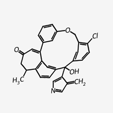 C=C1C=NC=C1C1(O)c2ccc(Cl)c(c2)COc2cccc(c2)C2=CC(=O)CC(C)c3ccc1cc32